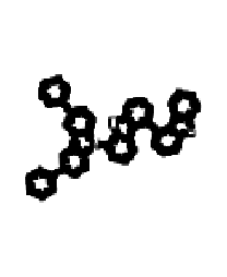 c1ccc(-c2ccc3c(c2)c2cc(-c4ccccc4)ccc2n3-c2cccc3c2oc2cccc(-c4cccc5sc6ccccc6c45)c23)cc1